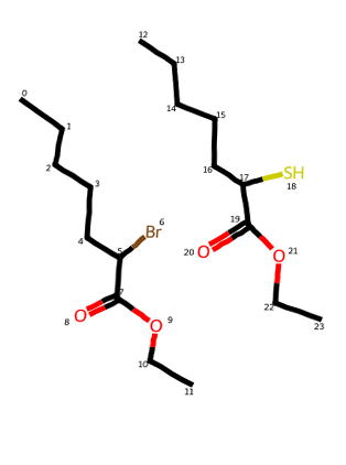 CCCCCC(Br)C(=O)OCC.CCCCCC(S)C(=O)OCC